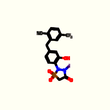 N#Cc1ccc(C(F)(F)F)cc1Cc1ccc(N2N(I)C(=O)CS2(=O)=O)c(O)c1